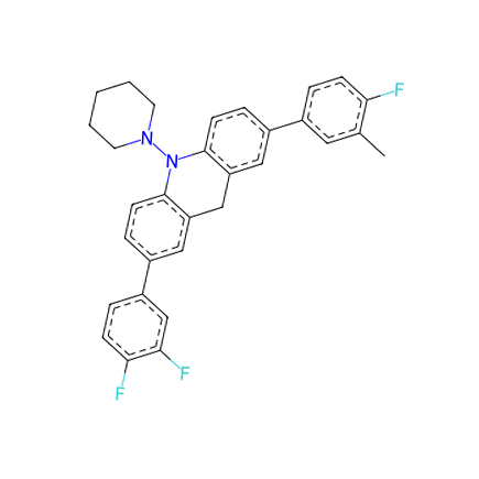 Cc1cc(-c2ccc3c(c2)Cc2cc(-c4ccc(F)c(F)c4)ccc2N3N2CCCCC2)ccc1F